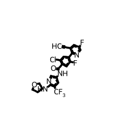 C#Cc1cc(F)cnc1-c1cc(Cl)c(C(=O)Nc2cnc(NC3CCOC3)c(C(F)(F)F)c2)cc1F